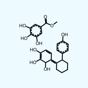 COC(=O)c1cc(O)c(O)c(O)c1.OC1=C(O)C(O)C(=C2CCCCC2c2ccc(O)cc2)C=C1